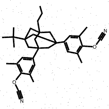 CCCC12CC3(c4cc(C)c(OC#N)c(C)c4)CC(c4cc(C)c(OC#N)c(C)c4)(C1)CC(C(C)(C)C)(C2)C3